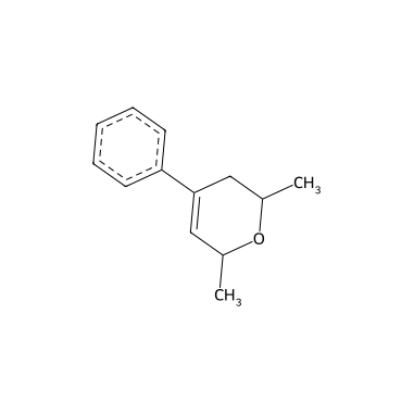 CC1C=C(c2ccccc2)CC(C)O1